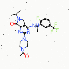 CC(=O)N1CCN(c2nc(N[C@H](C)c3cc(C(F)(F)F)ccc3F)c3c(n2)C(=O)N(C(C)C)C3)CC1